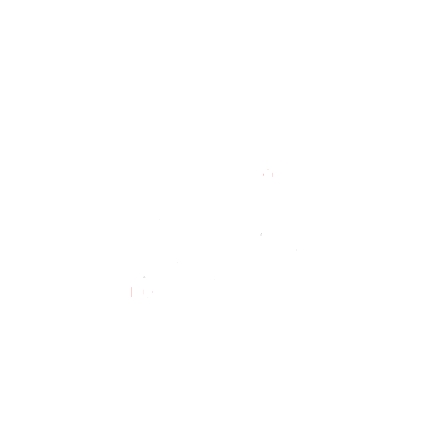 CC(C)Oc1ccc(O)c2ccccc12